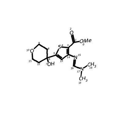 COC(=O)c1sc(C2(O)CCOCC2)cc1N=CN(C)C